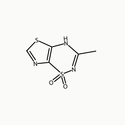 CC1=NS(=O)(=O)c2ncsc2N1